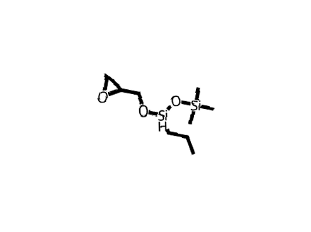 CCC[SiH](OCC1CO1)O[Si](C)(C)C